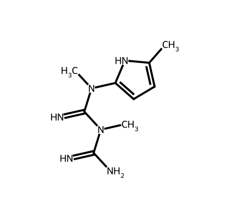 Cc1ccc(N(C)C(=N)N(C)C(=N)N)[nH]1